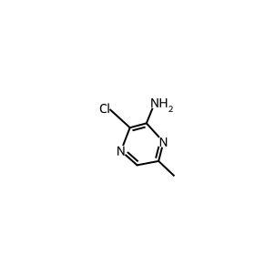 Cc1cnc(Cl)c(N)n1